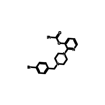 CC(C)C(=O)Oc1cccnc1N1CCN(Cc2ccc(Br)cc2)CC1